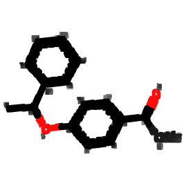 COC(=O)c1ccc(OC(C)c2ccccc2)cc1